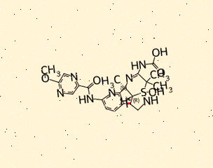 COc1cnc(C(=O)Nc2ccc(F)c([C@@]3(C)N=C(NC(=O)O)C(C)(C)S4(O)NCC[C@H]34)n2)cn1